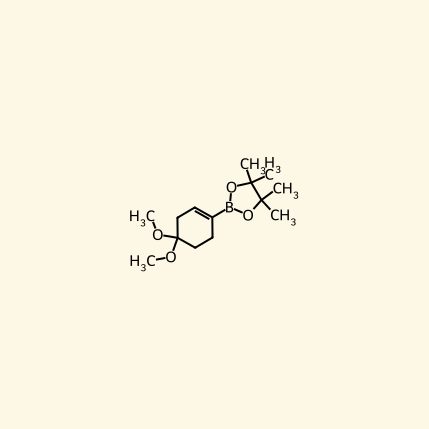 COC1(OC)CC=C(B2OC(C)(C)C(C)(C)O2)CC1